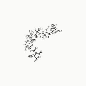 C=C1OC(=O)C(C(=O)C[C@@H]2O[C@@H]([C@H](C)[C@H](O)[C@H](CC)C(=O)[C@](C)(O)[C@@H]3CCC(CC)([C@@H]4CC[C@@](O)([C@@H](C)OC)[C@@H](C)O4)O3)[C@@H](C)C[C@@H]2C)=C1O